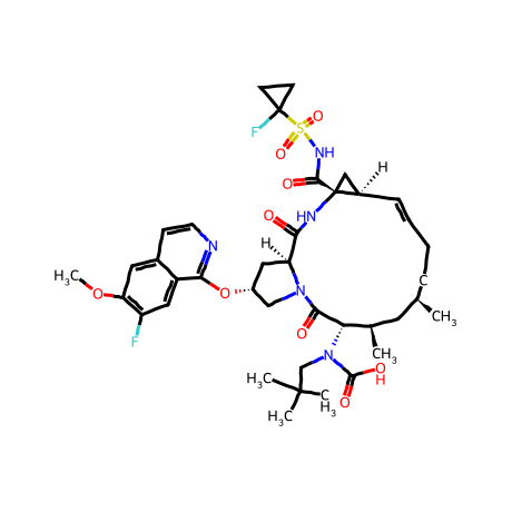 COc1cc2ccnc(O[C@@H]3C[C@H]4C(=O)N[C@]5(C(=O)NS(=O)(=O)C6(F)CC6)C[C@H]5C=CCC[C@@H](C)C[C@@H](C)[C@H](N(CC(C)(C)C)C(=O)O)C(=O)N4C3)c2cc1F